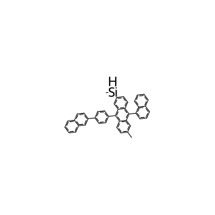 Cc1ccc2c(-c3ccc(-c4ccc5ccccc5c4)cc3)c3cc([SiH](C)C)ccc3c(-c3cccc4ccccc34)c2c1